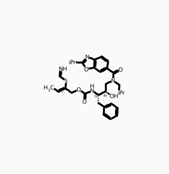 C/C=C(/COC(=O)N[C@@H](Cc1ccccc1)[C@H](O)CN(CC(C)C)C(=O)c1ccc2nc(C(C)C)oc2c1)SC=N